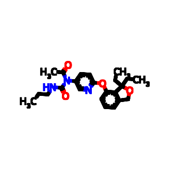 CCCNC(=O)N(C(C)=O)c1ccc(Oc2cccc3c2C(CC)(CC)OC3)nc1